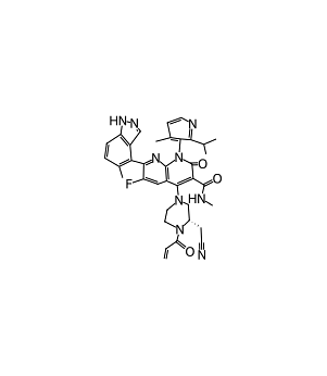 C=CC(=O)N1CCN(c2c(C(=O)NC)c(=O)n(-c3c(C)ccnc3C(C)C)c3nc(-c4c(C)ccc5[nH]ncc45)c(F)cc23)C[C@@H]1CC#N